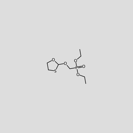 CCOP(=O)(COC1OCCS1)OCC